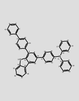 c1ccc(-c2ccc(-c3cc(-c4ccc(N(c5ccccc5)c5ccccc5)cc4)cc4c3sc3ccccc34)cc2)cc1